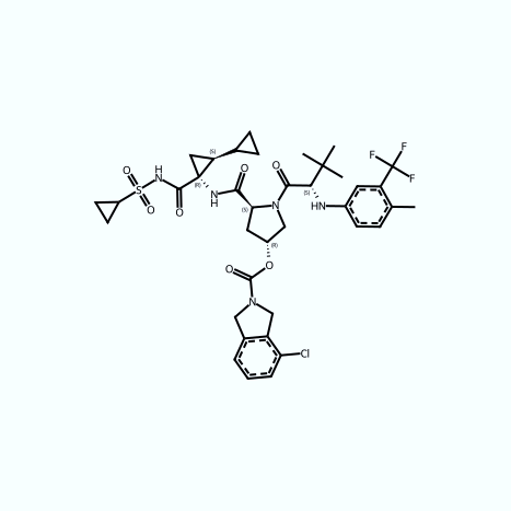 Cc1ccc(N[C@H](C(=O)N2C[C@H](OC(=O)N3Cc4cccc(Cl)c4C3)C[C@H]2C(=O)N[C@]2(C(=O)NS(=O)(=O)C3CC3)C[C@H]2C2CC2)C(C)(C)C)cc1C(F)(F)F